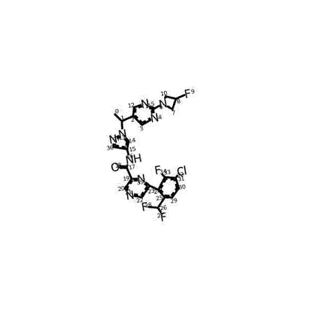 CC(c1cnc(N2CC(F)C2)nc1)n1cc(NC(=O)c2cncc(-c3c(C(F)F)ccc(Cl)c3F)n2)cn1